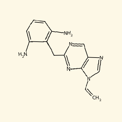 C=Cn1cnc2cnc(Cc3c(N)cccc3N)nc21